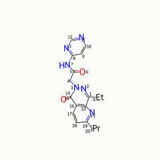 CCc1nn(CC(=O)Nc2ccncn2)c(=O)c2ccc(C(C)C)nc12